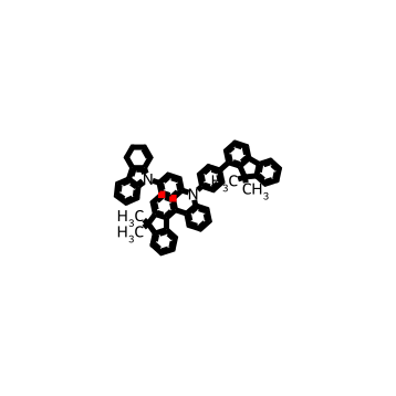 CC1(C)c2ccccc2-c2c(-c3ccccc3N(c3ccc(-c4cccc5c4C(C)(C)c4ccccc4-5)cc3)c3ccc(-n4c5c(c6ccccc64)CCC=C5)cc3)cccc21